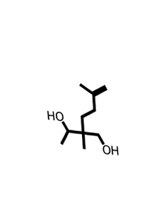 C=C(C)CCC(C)(CO)C(C)O